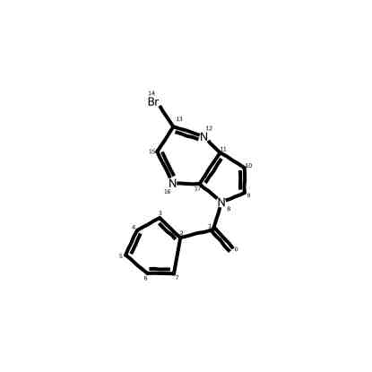 C=C(c1ccccc1)n1ccc2nc(Br)cnc21